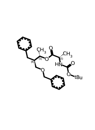 C[C@H](NC(=O)OC(C)(C)C)C(=O)O[C@@H](C)[C@@H](COCc1ccccc1)Cc1ccccc1